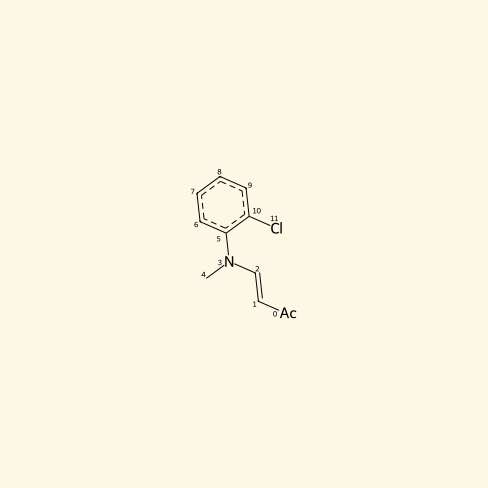 CC(=O)C=CN(C)c1ccccc1Cl